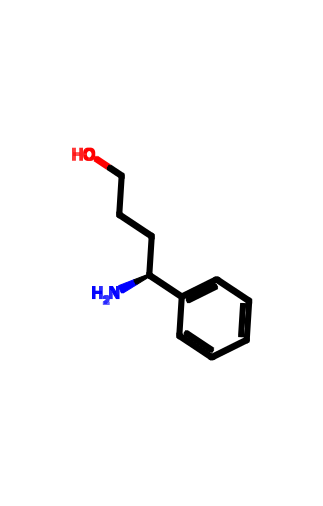 N[C@@H](CCCO)c1ccccc1